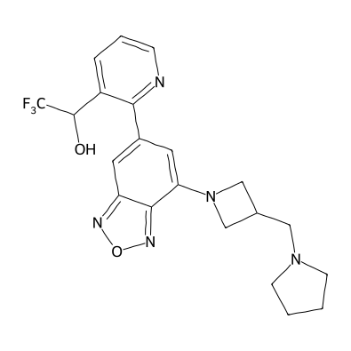 OC(c1cccnc1-c1cc(N2CC(CN3CCCC3)C2)c2nonc2c1)C(F)(F)F